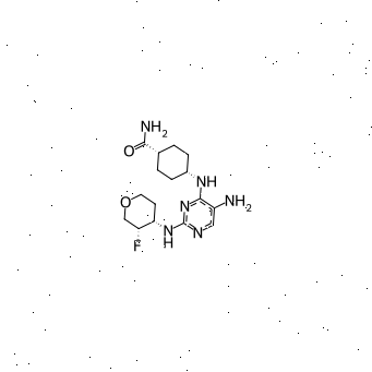 Nc1cnc(N[C@H]2CCOC[C@H]2F)nc1N[C@H]1CC[C@@H](C(N)=O)CC1